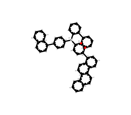 c1ccc(-c2ccccc2N(c2ccc(-c3cccc4ccccc34)cc2)c2ccc(-c3cccc4c3ccc3c5ccccc5ccc43)cc2)cc1